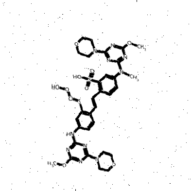 COc1nc(Nc2ccc(/C=C/c3ccc(N(C)c4nc(OC)nc(N5CCOCC5)n4)cc3S(=O)(=O)O)c(SOOO)c2)nc(N2CCOCC2)n1